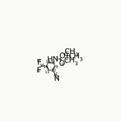 CC(C)(C)OC(=O)Nc1cc(C#N)cc(C(F)F)c1